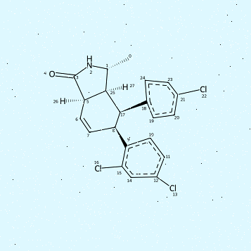 C[C@H]1NC(=O)[C@@H]2C=C[C@H](c3ccc(Cl)cc3Cl)[C@H](c3ccc(Cl)cc3)[C@H]12